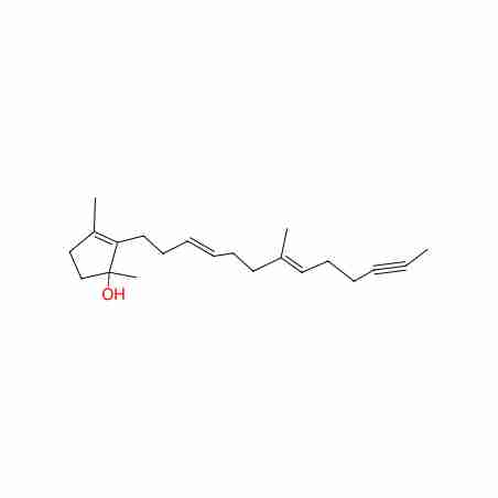 CC#CCC/C=C(\C)CC/C=C/CCC1=C(C)CCC1(C)O